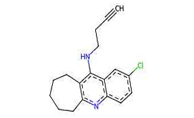 C#CCCNc1c2c(nc3ccc(Cl)cc13)CCCCC2